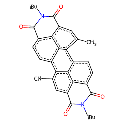 [C-]#[N+]c1cc2c3c(ccc4c5c(C)cc6c7c(ccc(c1c34)c75)C(=O)N(C(C)CC)C6=O)C(=O)N(C(C)CC)C2=O